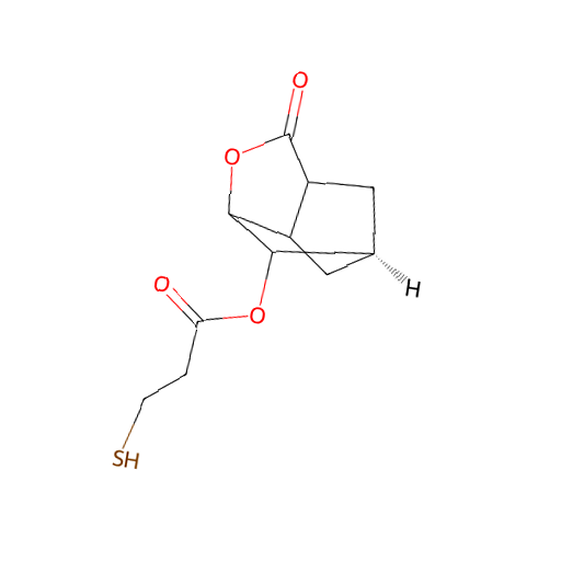 O=C(CCS)OC1C2OC(=O)C3C[C@H]1CC32